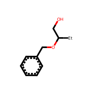 CCC(CO)OCc1ccccc1